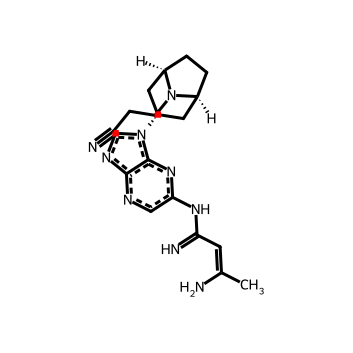 C/C(N)=C/C(=N)Nc1cnc2ncn([C@@H]3C[C@H]4CC[C@@H](C3)N4CCC#N)c2n1